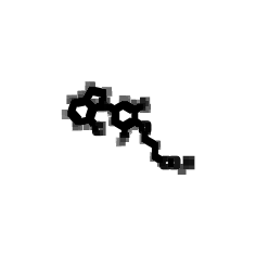 O=C(O)CCCOc1c(F)cc(-n2ccc3cccc(Cl)c32)cc1F